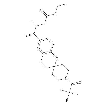 CCOC(=O)CC(C)C(=O)c1ccc2c(c1)CCC1(CCN(C(=O)C(F)(F)F)CC1)O2